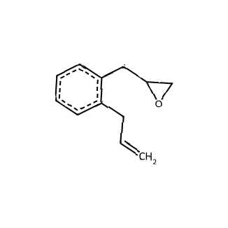 C=CCc1ccccc1[CH]C1CO1